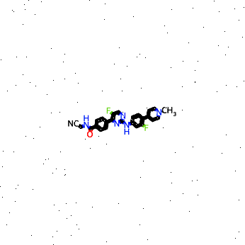 CN1CCC(c2ccc(Nc3ncc(F)c(-c4ccc(C(=O)NCC#N)cc4)n3)cc2F)CC1